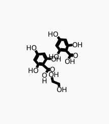 O=C(O)c1c(O)cc(O)cc1O.O=C(O)c1c(O)cc(O)cc1O.OCCO